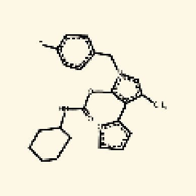 Cc1cn(Cc2ccc(F)cc2)c(OC(=O)NC2CCCCC2)c1-c1ccco1